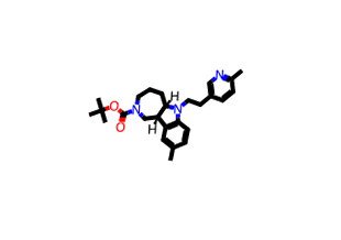 Cc1ccc2c(c1)[C@@H]1CN(C(=O)OC(C)(C)C)CCC[C@@H]1N2CCc1ccc(C)nc1